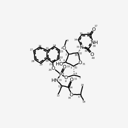 COC1C(O)[C@@H](C(C)OP(=O)(NC(C)C(=O)OC(C)C)Oc2cccc3ccccc23)O[C@H]1n1ccc(=O)[nH]c1=O